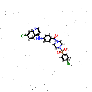 O=C(c1ccc(Nc2ccnc3cc(Cl)ccc23)cc1)N1CCN(S(=O)(=O)c2ccc(Br)cc2)CC1